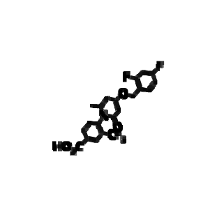 Cc1cc(OCc2ccc(F)cc2F)cc(=O)n1-c1ccc(C(=O)O)cc1C(F)(F)F